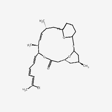 CC/C(C)=C/C=C\C=C\C1OC(=O)CC2C[C@H](C)CC(CC3CCC[C@H](C[C@@H](C)/C=C/[C@@H]1C)O3)O2